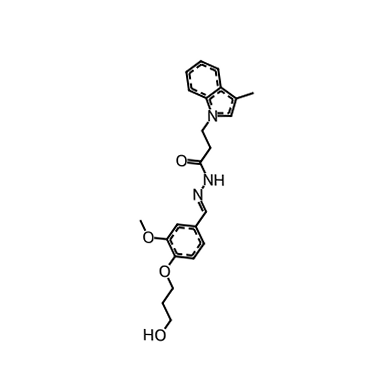 COc1cc(/C=N/NC(=O)CCn2cc(C)c3ccccc32)ccc1OCCCO